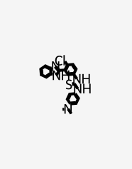 CN(C)c1ccc(NC(=S)Nc2ccc(Cl)c(-c3nc4ccccc4[nH]3)c2)cc1